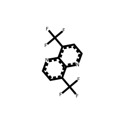 FC(F)(F)c1ccnc2c(C(F)(F)F)ccnc12